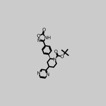 CC(C)(C)OC(=O)N1CCC(c2cnccn2)C[C@H]1c1ccc(-c2noc(=O)[nH]2)cc1